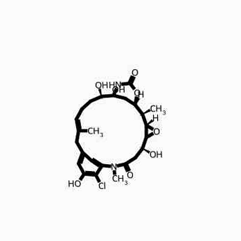 C/C1=C\CC[C@@H](O)[C@@]2(O)C[C@H](OC(=O)N2)[C@@H](C)[C@@H]2OC2[C@@H](O)CC(=O)N(C)c2cc(cc(O)c2Cl)C1